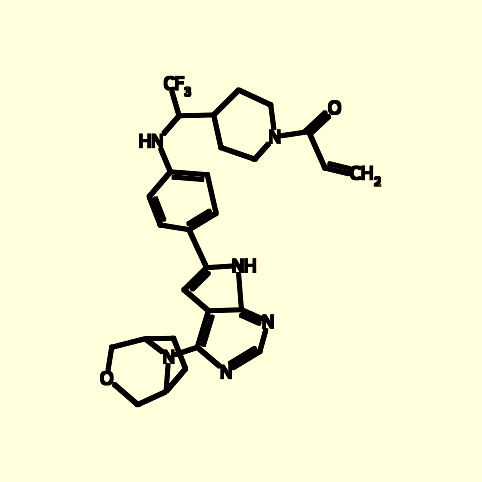 C=CC(=O)N1CCC(C(Nc2ccc(-c3cc4c(N5C6CCC5COC6)ncnc4[nH]3)cc2)C(F)(F)F)CC1